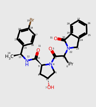 CC(C)C(C(=O)N1C[C@H](O)C[C@H]1C(=O)N[C@@H](C)c1ccc(Br)cc1)N1Cc2ccccc2C1=O